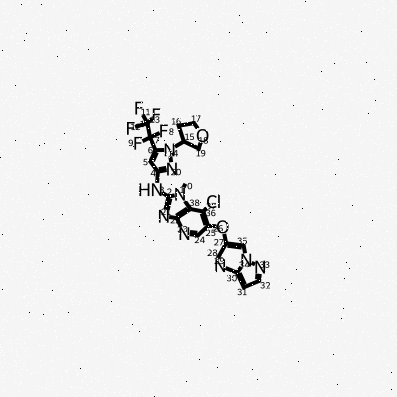 Cn1c(Nc2cc(C(F)(F)C(F)(F)F)n(C3CCOC3)n2)nc2ncc(Oc3cnc4ccnn4c3)c(Cl)c21